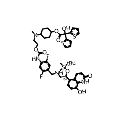 CN(CCOC(=O)Nc1cc(F)c(CNC[C@@H](O[Si](C)(C)C(C)(C)C)c2ccc(O)c3[nH]c(=O)ccc23)cc1F)C1CCC(OC(=O)C(O)(c2cccs2)c2cccs2)CC1